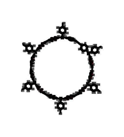 Cc1ccc(N2c3ccc(cc3)-c3ccc(cc3)N(c3ccc(C)cc3)c3ccc(cc3)-c3ccc(cc3)N(c3ccc(C)cc3)c3ccc(cc3)-c3ccc(cc3)N(c3ccc(C)cc3)c3ccc(cc3)-c3ccc(cc3)N(c3ccc(C)cc3)c3ccc(cc3)-c3ccc(cc3)N(c3ccc(C)cc3)c3ccc(cc3)-c3ccc2cc3)cc1